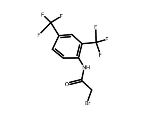 O=C(CBr)Nc1ccc(C(F)(F)F)cc1C(F)(F)F